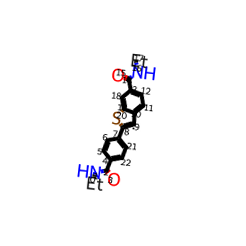 CCNC(=O)c1ccc(-c2[c]c3ccc(C(=O)NCC)cc3s2)cc1